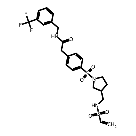 C=CS(=O)(=O)NCC1CCN(S(=O)(=O)c2ccc(CC(=O)NCc3cccc(C(F)(F)F)c3)cc2)C1